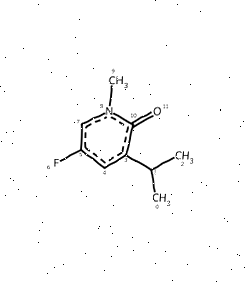 CC(C)c1cc(F)cn(C)c1=O